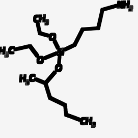 CCCCC(C)O[Si](CCCCN)(OCC)OCC